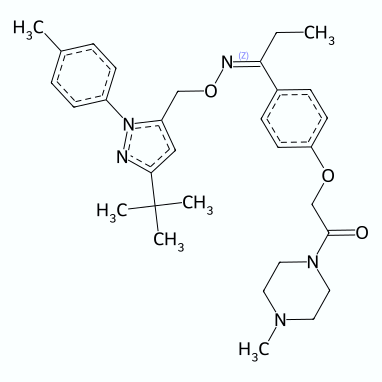 CC/C(=N/OCc1cc(C(C)(C)C)nn1-c1ccc(C)cc1)c1ccc(OCC(=O)N2CCN(C)CC2)cc1